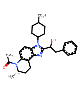 COC(=O)N1c2ccc3c(nc(C(O)Cc4ccccc4)n3C3CCC(C(=O)O)CC3)c2CC[C@@H]1C